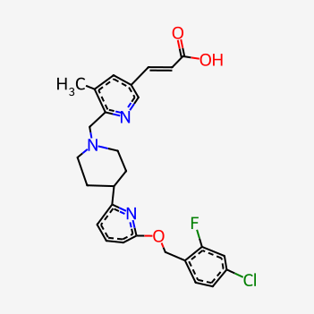 Cc1cc(/C=C/C(=O)O)cnc1CN1CCC(c2cccc(OCc3ccc(Cl)cc3F)n2)CC1